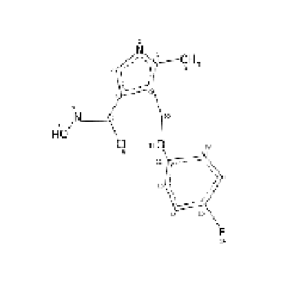 Cn1ncc(C(Cl)=NO)c1COc1ccc(F)cn1